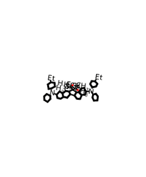 CCc1ccc(N(c2ccccc2)c2ccc3cc4c(cc3c2)C([Si](C)(C)C)([Si](C)(C)C)c2c-4ccc3cc(N(c4ccccc4)c4ccc(CC)cc4)ccc23)cc1